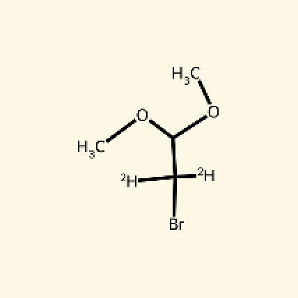 [2H]C([2H])(Br)C(OC)OC